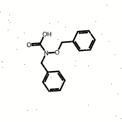 O=C(O)N(Cc1ccccc1)OCc1ccccc1